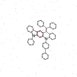 c1ccc(C(=C(c2ccccc2)c2ccccc2N(c2ccc(-c3ccccc3)cc2)c2ccc3c4ccccc4n(-c4ccccc4)c3c2)c2ccccc2)cc1